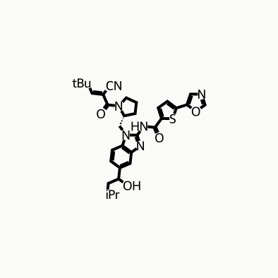 CC(C)CC(O)c1ccc2c(c1)nc(NC(=O)c1ccc(-c3cnco3)s1)n2C[C@H]1CCCN1C(=O)/C(C#N)=C/C(C)(C)C